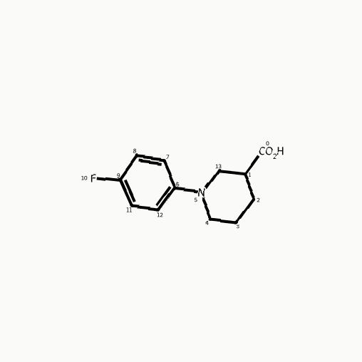 O=C(O)C1CCCN(c2ccc(F)cc2)C1